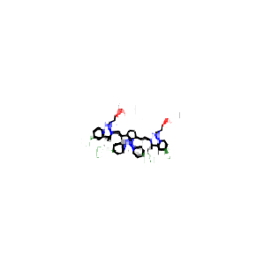 COCCCN1/C(=C/C=C2\CCC(/C=C/C3=[N+](CCCOC)c4ccc(Cl)cc4C3(C)C)=C2N(c2ccc(Br)cc2)c2ccc(Br)cc2)C(C)(C)c2cc(Cl)ccc21